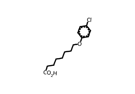 O=C(O)CCCCCCCOc1ccc(Cl)cc1